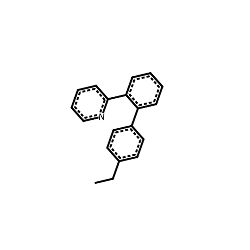 CCc1ccc(-c2ccccc2-c2ccccn2)cc1